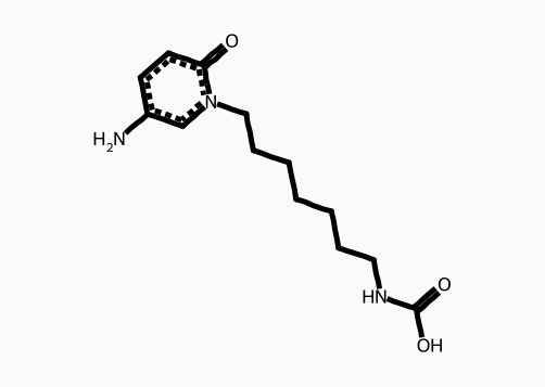 Nc1ccc(=O)n(CCCCCCCNC(=O)O)c1